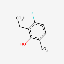 O=C(O)Cc1c(F)ccc([N+](=O)[O-])c1O